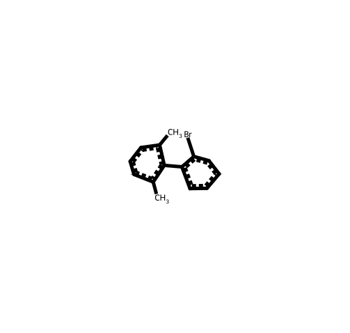 Cc1[c]ccc(C)c1-c1ccccc1Br